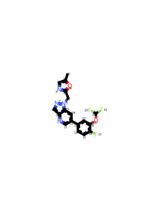 Cc1cnc(Cn2ncc3ncc(-c4ccc(F)c(OC(F)F)c4)cc32)o1